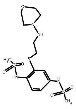 CS(=O)(=O)Nc1ccc(NS(C)(=O)=O)c(SCCNN2CCOCC2)c1